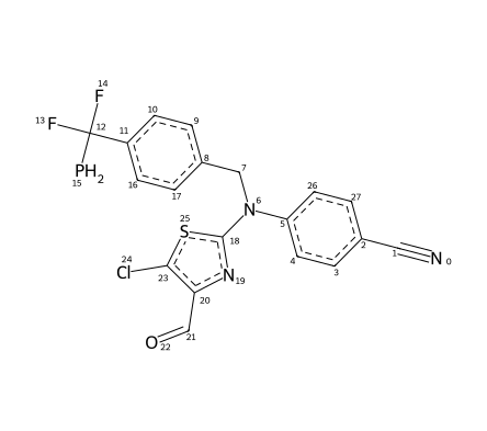 N#Cc1ccc(N(Cc2ccc(C(F)(F)P)cc2)c2nc(C=O)c(Cl)s2)cc1